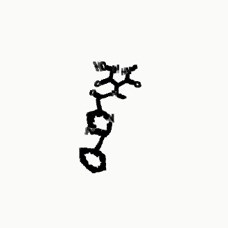 CNC(=O)C(C(=O)NO)N(C)C(=O)c1cnc(-c2ccccc2)cn1